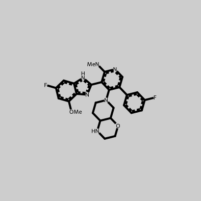 CNc1ncc(-c2cccc(F)c2)c(N2CCC3NCCOC3C2)c1-c1nc2c(OC)cc(F)cc2[nH]1